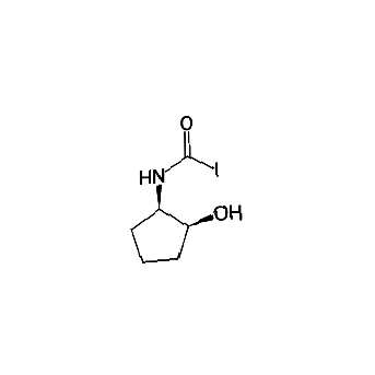 O=C(I)N[C@@H]1CCC[C@@H]1O